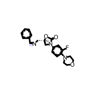 O=C1O[C@@H](C/N=C\c2ccccc2)CN1c1ccc(N2CCOCC2)c(F)c1